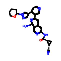 N#C[C@H]1C[C@@H]1C(=O)Nc1cc2cc(-c3cnccc3-c3cnn(C4CCCCO4)c3)nc(N)c2cn1